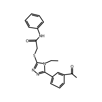 CCn1c(SCC(=O)Nc2ccccc2)nnc1-c1cccc(C(C)=O)c1